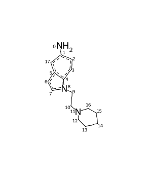 Nc1ccc2c(ccn2CCN2CCCCC2)c1